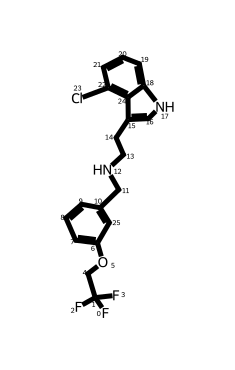 FC(F)(F)COc1cccc(CNCCc2c[nH]c3cccc(Cl)c23)c1